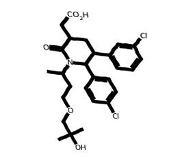 CC(CCOCC(C)(C)O)N1C(=O)C(CC(=O)O)CC(c2cccc(Cl)c2)C1c1ccc(Cl)cc1